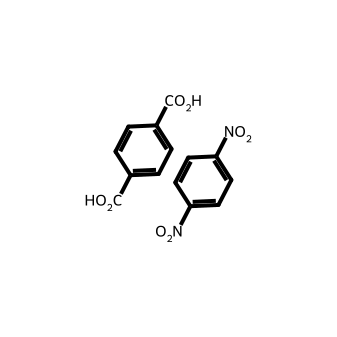 O=C(O)c1ccc(C(=O)O)cc1.O=[N+]([O-])c1ccc([N+](=O)[O-])cc1